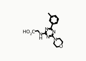 Cc1cccc(-c2nc(NCC(=O)O)nc(N3CCOCC3)n2)c1